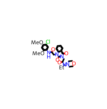 CCN(C(=O)Cn1c(=O)c2ccccc2n(CC(=O)Nc2cc(Cl)c(OC)cc2OC)c1=O)N1CCOCC1